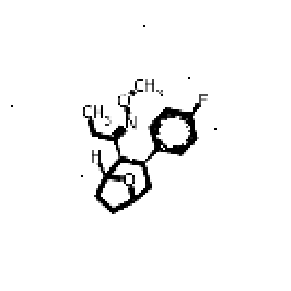 CCC(=NOC)[C@H]1[C@@H](c2ccc(F)cc2)CC2CC[C@H]1O2